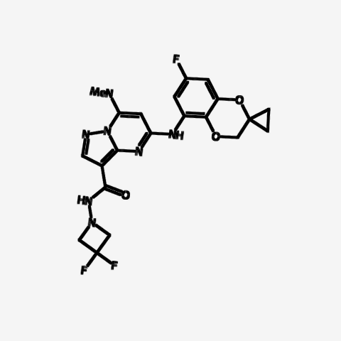 CNc1cc(Nc2cc(F)cc3c2OCC2(CC2)O3)nc2c(C(=O)NN3CC(F)(F)C3)cnn12